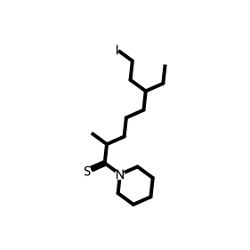 CCC(CCI)CCCC(C)C(=S)N1CCCCC1